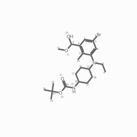 CCN(c1cc(Br)cc(C(O)OC)c1C)C1CCC(NC(=O)OC(C)(C)C)CC1